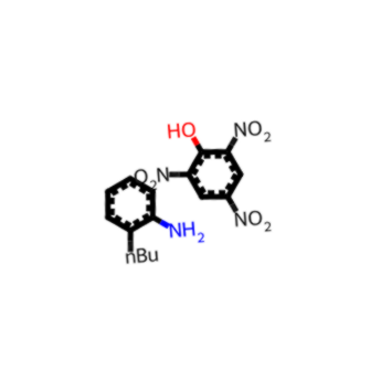 CCCCc1ccccc1N.O=[N+]([O-])c1cc([N+](=O)[O-])c(O)c([N+](=O)[O-])c1